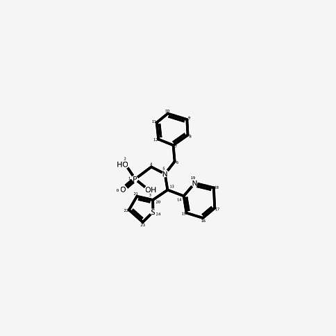 O=P(O)(O)CN(Cc1ccccc1)C(c1ccccn1)c1cccs1